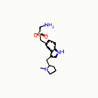 CN1CCCC1Cc1c[nH]c2ccc(CS(=O)(=O)CN)cc12